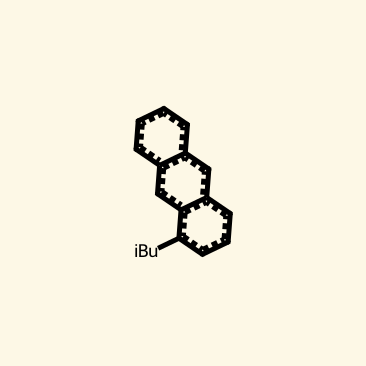 CCC(C)c1cccc2cc3ccccc3cc12